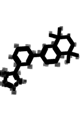 CC1(C)CCC(C)(C)c2cc(-c3[c]ccc(-c4nnn[nH]4)c3)ccc21